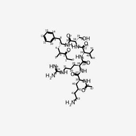 CCC(=O)C(C)C[C@H](Cc1ccccc1)NC(=O)[C@H](CO)NC(=O)[C@@H](NC(=O)[C@H](CCCNC(=N)N)NC(=O)[C@H](CCCCN)NC(C)=O)C(C)C